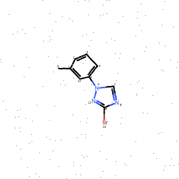 Cc1cccc(-n2cnc(Br)n2)c1